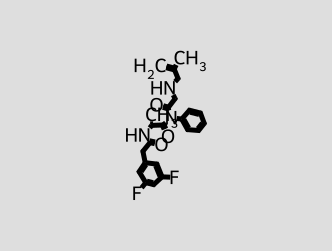 C=C(C)CNCC(=O)N(C(=O)[C@H](C)NC(=O)Cc1cc(F)cc(F)c1)c1ccccc1